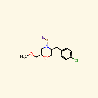 COC[C@H]1CN(SI)[C@@H](Cc2ccc(Cl)cc2)CO1